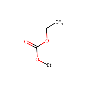 C[CH]OC(=O)OCC(F)(F)F